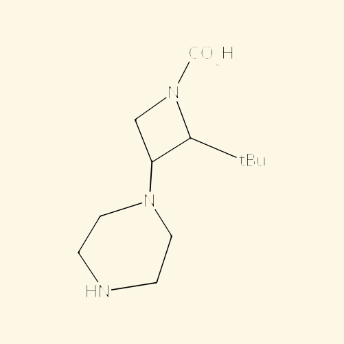 CC(C)(C)C1C(N2CCNCC2)CN1C(=O)O